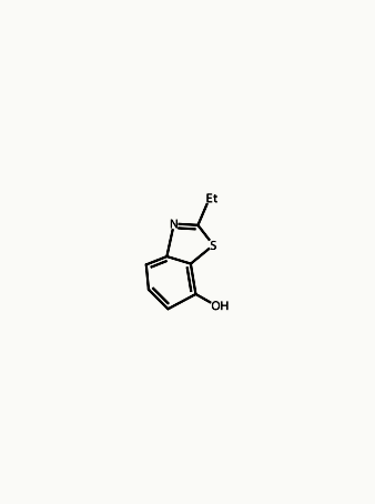 CCc1nc2cccc(O)c2s1